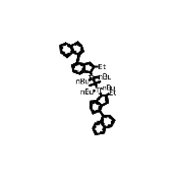 CCC[CH2][Ti]([CH2]CCC)([CH]1C(CC)=Cc2c(-c3cccc4ccccc34)cccc21)[C](C)(C)[Ti]([CH2]CCC)([CH2]CCC)[CH]1C(CC)=Cc2c(-c3cccc4ccccc34)cccc21